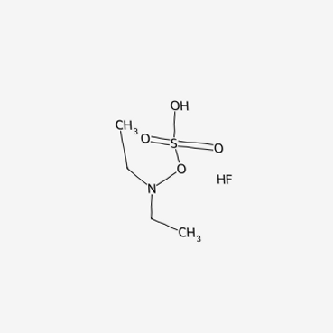 CCN(CC)OS(=O)(=O)O.F